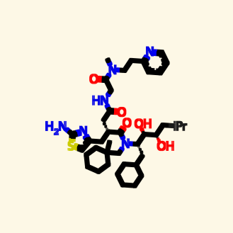 CC(C)C[C@H](O)[C@H](O)[C@H](CC1CCCCC1)N(CC1(C)CCCCC1)C(=O)[C@@H](CC(=O)NCC(=O)N(C)CCc1ccccn1)Cc1csc(N)n1